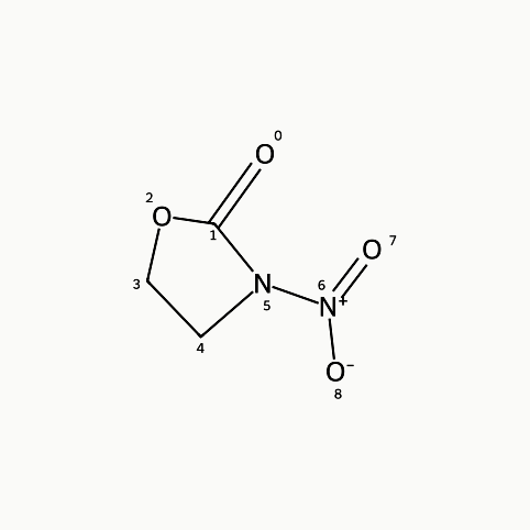 O=C1OCCN1[N+](=O)[O-]